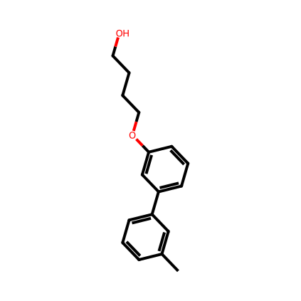 Cc1cccc(-c2cccc(OCCCCO)c2)c1